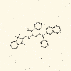 CN1/C(=C\N=C2\C=C(N(c3ccccc3)c3ccc4ccccc4c3)c3ccccc3C2=O)C(C)(C)c2ccccc21